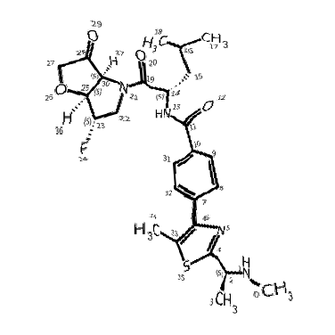 CN[C@@H](C)c1nc(-c2ccc(C(=O)N[C@@H](CC(C)C)C(=O)N3C[C@H](F)[C@H]4OCC(=O)[C@H]43)cc2)c(C)s1